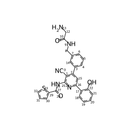 N#Cc1c(-c2cccc(CNC(=O)CN)c2)cc(-c2ccccc2O)nc1NC(=O)c1cccs1